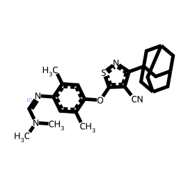 Cc1cc(Oc2snc(C34CC5CC(CC(C5)C3)C4)c2C#N)c(C)cc1/N=C\N(C)C